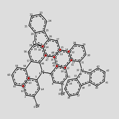 Brc1cccc(N(c2cc(Br)cc(-c3c(-c4ccc5oc6ccccc6c5c4)cccc3-n3c4ccccc4c4ccccc43)c2)c2c(-c3ccccc3)cccc2-c2ccccc2)c1